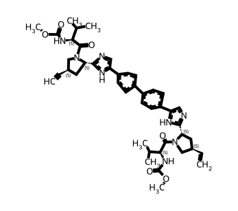 C#C[C@@H]1C[C@@H](c2ncc(-c3ccc(-c4ccc(-c5cnc([C@@H]6C[C@@H](C=C)CN6C(=O)[C@@H](NC(=O)OC)C(C)C)[nH]5)cc4)cc3)[nH]2)N(C(=O)[C@@H](NC(=O)OC)C(C)C)C1